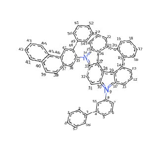 c1ccc(-c2cccc(-n3c4cccc5c6ccccc6c6cccc7c6c6c(c54)c3ccc6n7-c3cc4ccc5ccccc5c4cc3-c3ccccc3)c2)cc1